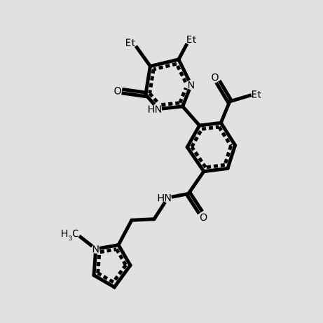 CCC(=O)c1ccc(C(=O)NCCc2cccn2C)cc1-c1nc(CC)c(CC)c(=O)[nH]1